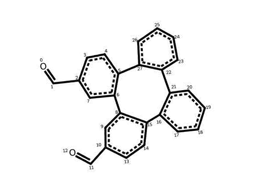 O=Cc1ccc2c(c1)-c1cc(C=O)ccc1-c1ccccc1-c1ccccc1-2